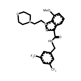 COc1cccc2c(C(=O)NCc3cc(C(F)(F)F)cc(C(F)(F)F)c3)nn(CCN3CCOCC3)c12